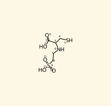 O=C(O)C(CS)NCCS(=O)(=O)O